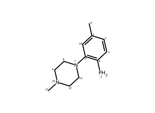 Cc1ccc(P)c(N2CCN(C)CC2)c1